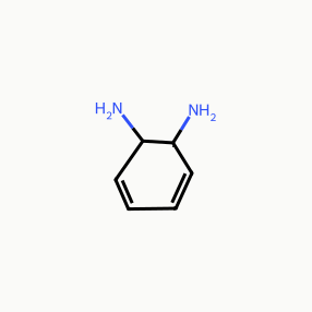 N[C]1C=CC=CC1N